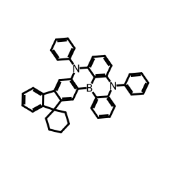 c1ccc(N2c3ccccc3B3c4cc5c(cc4N(c4ccccc4)c4cccc2c43)-c2ccccc2C52CCCCC2)cc1